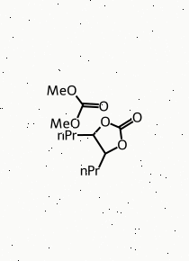 CCCC1OC(=O)OC1CCC.COC(=O)OC